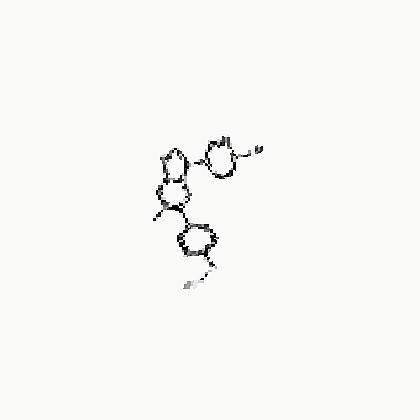 Cc1cc2ncc(-c3ccc(C(C)(C)C)nc3)n2cc1-c1ccc(OC(C)C)cc1